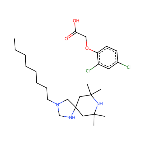 CCCCCCCCN1CNC2(C1)CC(C)(C)NC(C)(C)C2.O=C(O)COc1ccc(Cl)cc1Cl